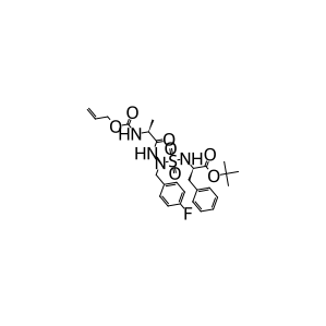 C=CCOC(=O)N[C@@H](C)C(=O)NN(Cc1ccc(F)cc1)S(=O)(=O)N[C@H](Cc1ccccc1)C(=O)OC(C)(C)C